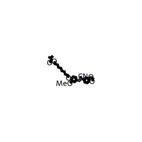 C=C(C)C(=O)OCCCCCCCCOc1ccc(/C=C(\C#N)c2ccc3c(c2)OCO3)cc1OC